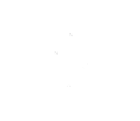 O=c1c(-c2nc3ccccc3nc2-c2ccccc2)c(-c2ccccc2)oc2ccccc12